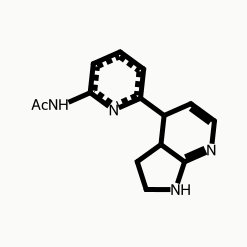 CC(=O)Nc1cccc(C2C=CN=C3NCCC32)n1